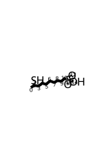 CC(S)CCCCCCCCS(=O)(=O)O